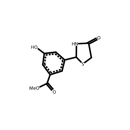 COC(=O)c1cc(O)cc(C2NC(=O)CS2)c1